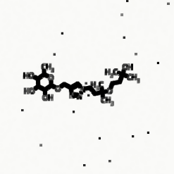 CC1OC(OCc2cn(CCC(C)(C)OCCC(C)(C)O)nn2)C(O)C(O)C1O